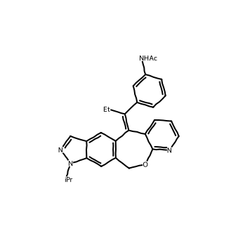 CC/C(=C1\c2cc3cnn(C(C)C)c3cc2COc2ncccc21)c1cccc(NC(C)=O)c1